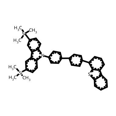 C[Si](C)(C)c1ccc2c(c1)c1cc([Si](C)(C)C)ccc1n2-c1ccc(-c2ccc(-c3cccc4c3sc3ccccc34)cc2)cc1